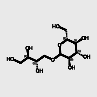 OC[C@@H](O)[C@@H](O)COC1O[C@H](CO)[C@@H](O)[C@H](O)[C@H]1O